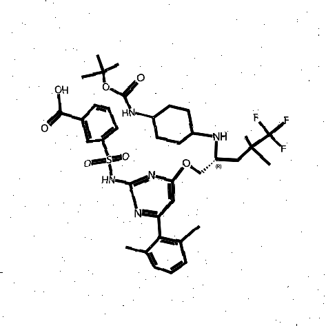 Cc1cccc(C)c1-c1cc(OC[C@@H](CC(C)(C)C(F)(F)F)NC2CCC(NC(=O)OC(C)(C)C)CC2)nc(NS(=O)(=O)c2cccc(C(=O)O)c2)n1